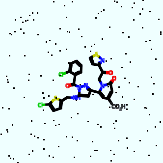 O=C(O)c1cc(-c2cc(NCc3ccc(Cl)s3)n(C(=O)c3ccccc3Cl)n2)n(CC(=O)c2ccsn2)c(=O)c1